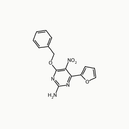 Nc1nc(OCc2ccccc2)c([N+](=O)[O-])c(-c2ccco2)n1